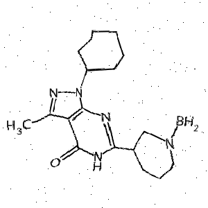 BN1CCCC(c2nc3c(c(C)nn3C3CCCCC3)c(=O)[nH]2)C1